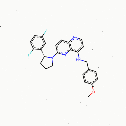 COc1ccc(CNc2ccnc3ccc(N4CCC[C@@H]4c4cc(F)ccc4F)nc23)cc1